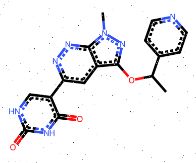 CC(Oc1nn(C)c2nnc(-c3c[nH]c(=O)[nH]c3=O)cc12)c1ccncc1